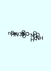 CCCCNC1CCN(S(=O)(=O)c2ccc(CNC(=O)c3ccc[nH]c3=O)cc2)CC1